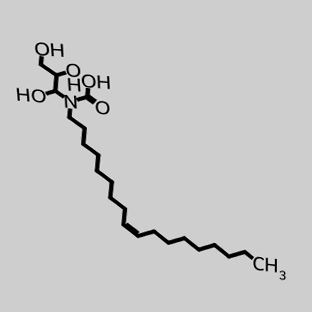 CCCCCCCC/C=C\CCCCCCCCN(C(=O)O)C(O)C(O)CO